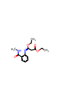 CCOC(=O)C/C(=N\c1ccccc1C(=O)NC)OCC